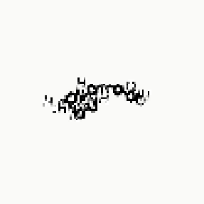 Cc1ccc(NC(=O)c2ccc(CNCc3ccc(C4CCC(=O)NC4=O)cc3)cc2)cc1Nc1nccc(-c2cccnc2)n1